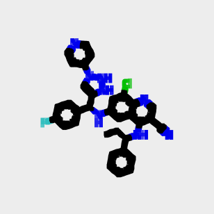 CC[C@@H](Nc1c(C#N)cnc2c(Cl)cc(N[C@H](C3=CN(c4ccncc4)NN3)c3ccc(F)cc3)cc12)c1ccccc1